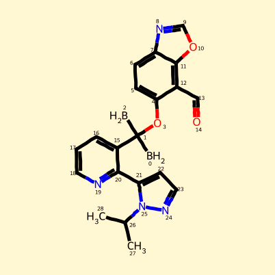 BC(B)(Oc1ccc2ncoc2c1C=O)c1cccnc1-c1ccnn1C(C)C